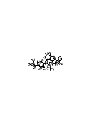 CNC(=O)c1sc2nccc3c2c1NC(=O)N3c1cnc(CC(C)C)cc1C